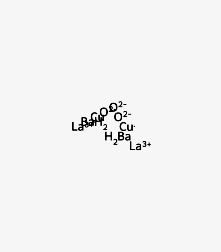 [BaH2].[BaH2].[Cu].[Cu].[La+3].[La+3].[O-2].[O-2].[O-2]